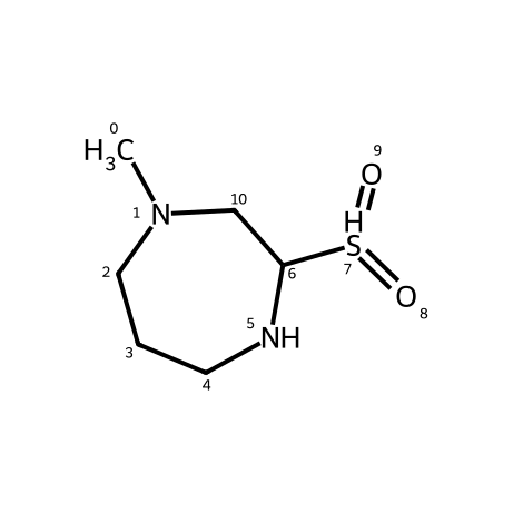 CN1CCCNC([SH](=O)=O)C1